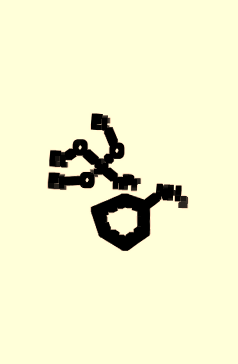 CCC[Si](OCC)(OCC)OCC.Nc1ccccc1